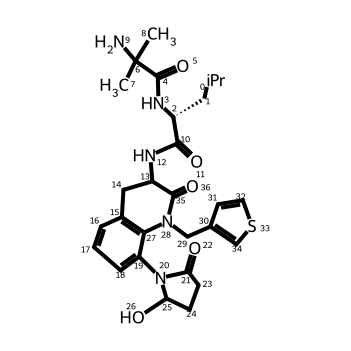 CC(C)C[C@@H](NC(=O)C(C)(C)N)C(=O)NC1Cc2cccc(N3C(=O)CCC3O)c2N(Cc2ccsc2)C1=O